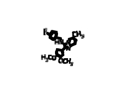 COc1ccc(-c2nc3ccc(C)cn3c2NCc2ccc(F)cc2)cc1OC